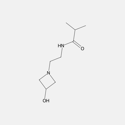 CC(C)C(=O)NCCN1CC(O)C1